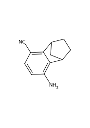 N#Cc1ccc(N)c2c1C1CCC2C1